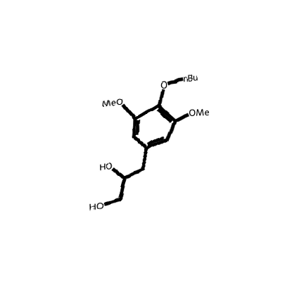 CCCCOc1c(OC)cc(CC(O)CO)cc1OC